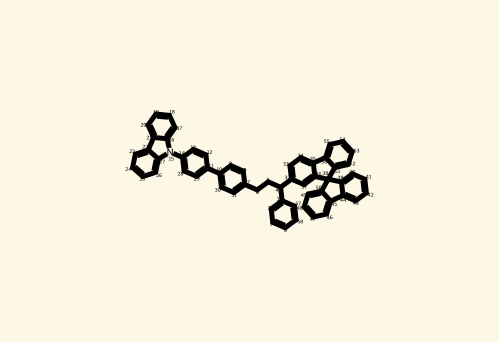 c1ccc(C(CCc2ccc(-c3ccc(-n4c5ccccc5c5ccccc54)cc3)cc2)c2ccc3c(c2)C2(c4ccccc4-c4ccccc42)c2ccccc2-3)cc1